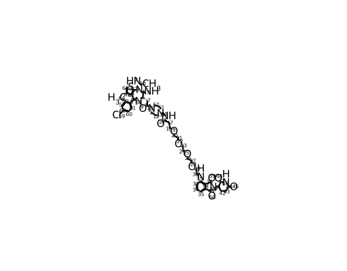 CC(=N)N1C(=N)[C@H](CC(=O)N2CCN(NC(=O)CCOCCOCCOCCOCCNc3cccc4c3C(=O)N(C3CCC(=O)NC3=O)C4=O)CC2)N=C(c2ccc(Cl)cc2)c2c(C)csc21